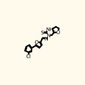 NC(=S)N(CC1CCCO1)N=Cc1ccc(-c2cccc(Cl)c2)o1